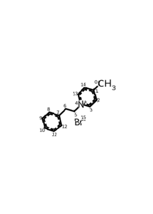 Cc1cc[n+](CCc2ccccc2)cc1.[Br-]